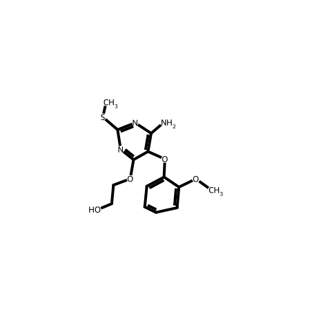 COc1ccccc1Oc1c(N)nc(SC)nc1OCCO